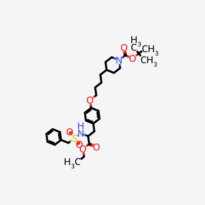 CCOC(=O)C(Cc1ccc(OCCCCC2CCN(C(=O)OC(C)(C)C)CC2)cc1)NS(=O)(=O)Cc1ccccc1